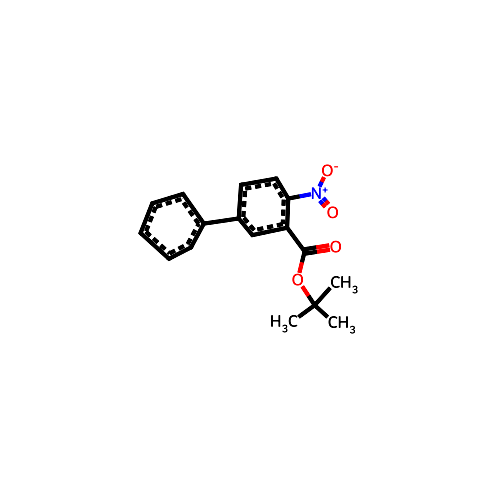 CC(C)(C)OC(=O)c1cc(-c2ccccc2)ccc1[N+](=O)[O-]